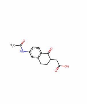 CC(=O)Nc1ccc2c(c1)CCC(CC(=O)O)C2=O